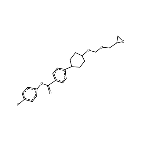 O=C(Oc1ccc(F)cc1)c1ccc(C2CCC(OCOCC3CO3)CC2)cc1